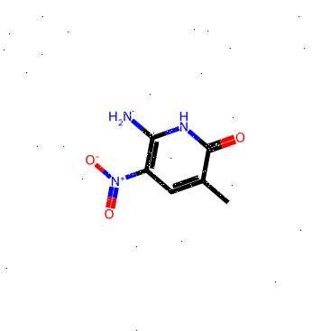 Cc1cc([N+](=O)[O-])c(N)[nH]c1=O